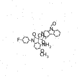 COc1ccc2c(c1N)[C@@](C)(C(=O)c1cc3c4ccccc4n(C=O)c3cn1)C(=O)N2c1ccc(F)cc1